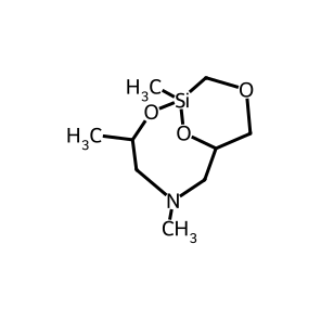 CC1CN(C)CC2COC[Si](C)(O1)O2